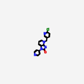 O=c1nc2n(Cc3ccc(Cl)nc3)cccc-2n1-c1ccncc1